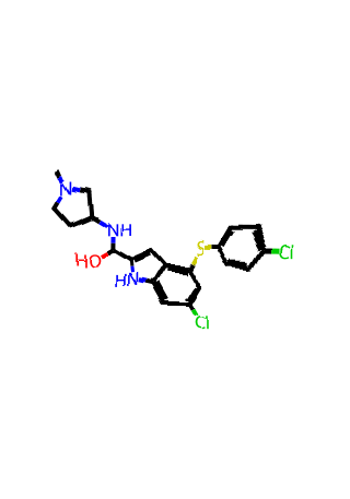 CN1CCC(NC(O)c2cc3c(Sc4ccc(Cl)cc4)cc(Cl)cc3[nH]2)C1